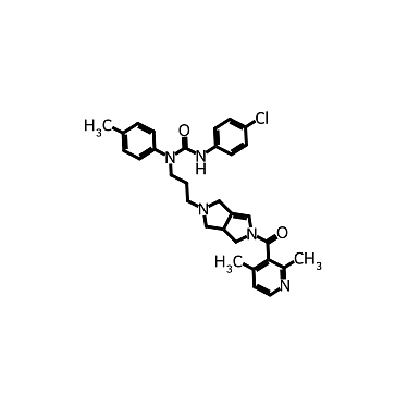 Cc1ccc(N(CCCN2CC3=CN(C(=O)c4c(C)ccnc4C)CC3C2)C(=O)Nc2ccc(Cl)cc2)cc1